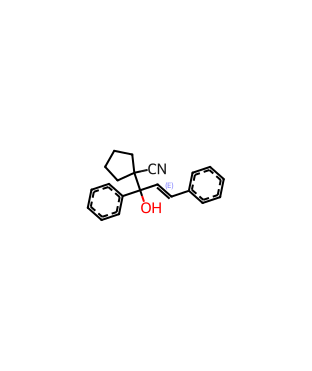 N#CC1(C(O)(/C=C/c2ccccc2)c2ccccc2)CCCC1